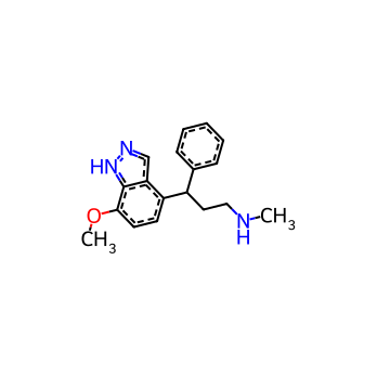 CNCCC(c1ccccc1)c1ccc(OC)c2[nH]ncc12